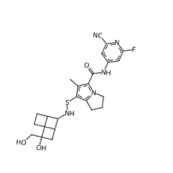 Cc1c(SNC2C3CCC34C2CC4(O)CO)c2n(c1C(=O)Nc1cc(F)nc(C#N)c1)CCC2